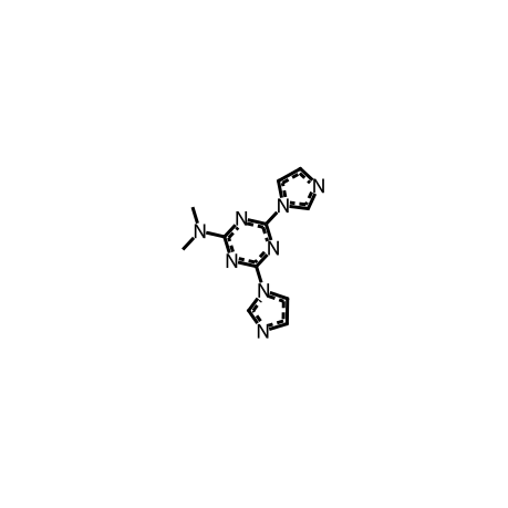 CN(C)c1nc(-n2ccnc2)nc(-n2ccnc2)n1